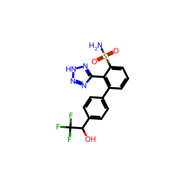 NS(=O)(=O)c1cccc(-c2ccc(C(O)C(F)(F)F)cc2)c1-c1nn[nH]n1